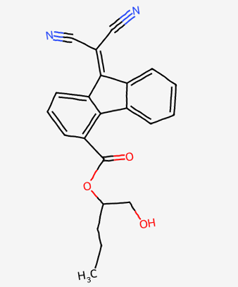 CCCC(CO)OC(=O)c1cccc2c1-c1ccccc1C2=C(C#N)C#N